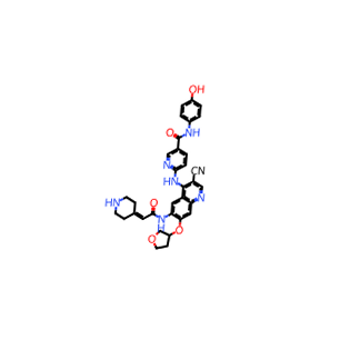 N#Cc1cnc2cc(OC3CCOC3)c(NC(=O)C=C3CCNCC3)cc2c1Nc1ccc(C(=O)Nc2ccc(O)cc2)cn1